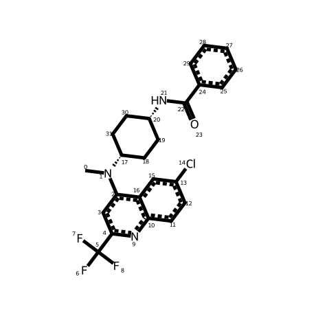 CN(c1cc(C(F)(F)F)nc2ccc(Cl)cc12)[C@H]1CC[C@@H](NC(=O)c2ccccc2)CC1